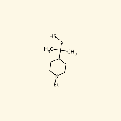 CCN1CCC(C(C)(C)SS)CC1